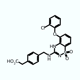 O=C(O)Cc1ccc(CNC2=NS(=O)(=O)c3cccc(Oc4ccccc4Cl)c3N2)cc1